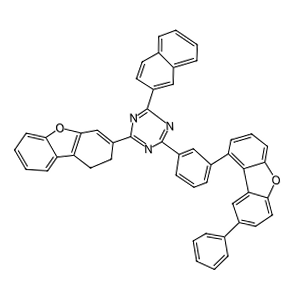 C1=C(c2nc(-c3cccc(-c4cccc5oc6ccc(-c7ccccc7)cc6c45)c3)nc(-c3ccc4ccccc4c3)n2)CCc2c1oc1ccccc21